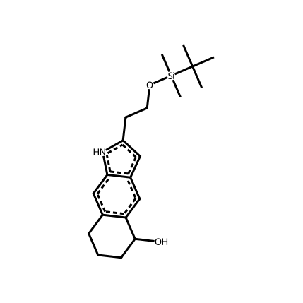 CC(C)(C)[Si](C)(C)OCCc1cc2cc3c(cc2[nH]1)CCCC3O